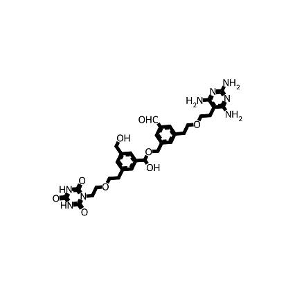 Nc1nc(N)c(CCOCCc2cc(C=O)cc(COC(O)c3cc(CO)cc(CCOCCn4c(=O)[nH]c(=O)[nH]c4=O)c3)c2)c(N)n1